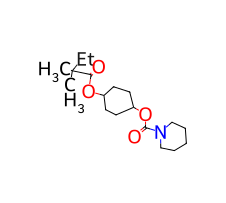 CCC(C)(C)C(=O)OC1CCC(OC(=O)N2CCCCC2)CC1